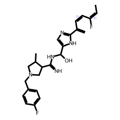 C=C(/C=C\C(F)=C/C)c1ncc(C(O)NC(=N)C2CN(Cc3ccc(F)cc3)CC2C)[nH]1